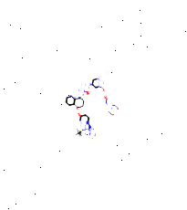 COC(C)(C)c1nnc2ccc(O[C@@H]3CC[C@H](NC(=O)Nc4cc(COCCN5CCOCC5)nc(C(C)(C)C)c4)c4ccccc43)cn12